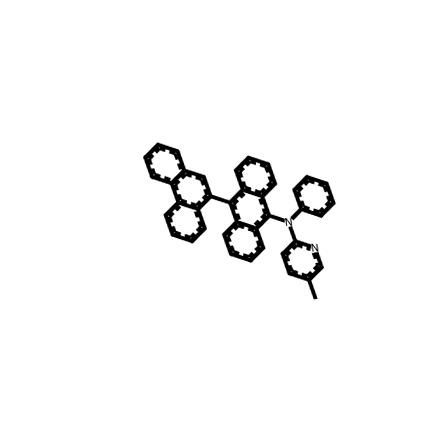 Cc1ccc(N(c2ccccc2)c2c3ccccc3c(-c3cc4ccccc4c4ccccc34)c3ccccc23)nc1